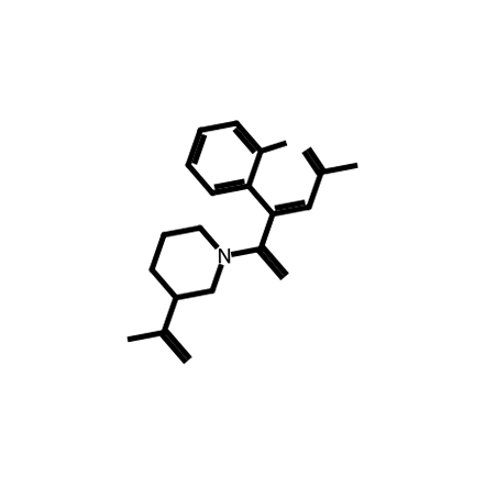 C=C(C)/C=C(/C(=C)N1CCCC(C(=C)C)C1)c1ccccc1C